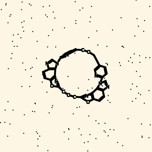 c1cc2ncc1COCc1ccc(nc1)-n1cnc3ccc4oc(nc4c31)COCc1nc3c(ccc4ncn-2c43)o1